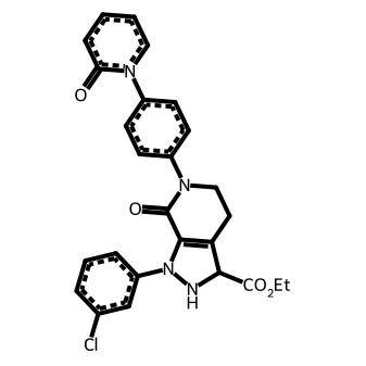 CCOC(=O)C1NN(c2cccc(Cl)c2)C2=C1CCN(c1ccc(-n3ccccc3=O)cc1)C2=O